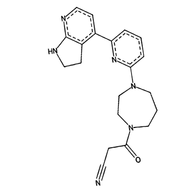 N#CCC(=O)N1CCCN(c2cccc(-c3ccnc4c3CCN4)n2)CC1